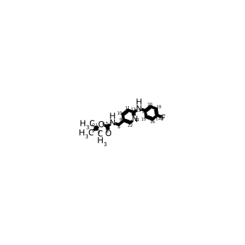 CC(C)(C)OC(=O)NCc1ccc(Nc2ccc(F)cc2)nc1